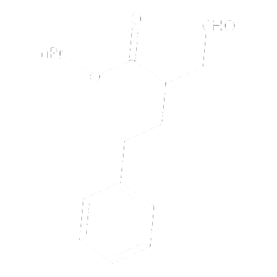 CCCOC(=O)C(CC=O)CCc1ccccc1